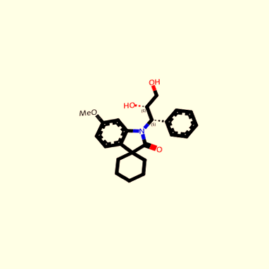 COc1ccc2c(c1)N([C@@H](c1ccccc1)[C@H](O)CO)C(=O)C21CCCCC1